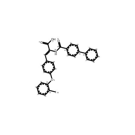 O=C(O)C(=Cc1ccc(Oc2ccccc2I)cc1)NC(=O)c1ccc(-c2ccccc2)cc1